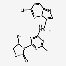 CCC1COC(=O)N1c1nc(C)nc(N[C@@H](C)c2cnc3ccc(Cl)nn23)n1